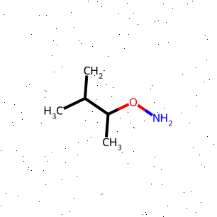 [CH2]C(C)C(C)ON